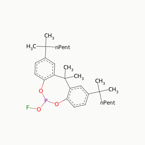 CCCCCC(C)(C)c1ccc2c(c1)C(C)(C)c1cc(C(C)(C)CCCCC)ccc1OP(OF)O2